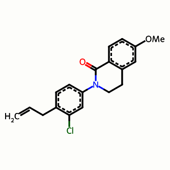 C=CCc1ccc(N2CCc3cc(OC)ccc3C2=O)cc1Cl